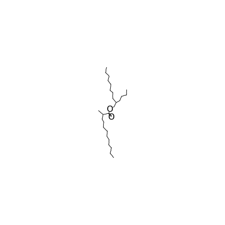 CCCCCCCCCCC(C)C(=O)OCC(CCCC)CCCCCCCC